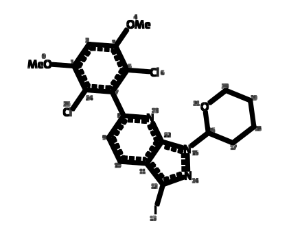 COc1cc(OC)c(Cl)c(-c2ccc3c(I)nn(C4CCCCO4)c3n2)c1Cl